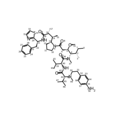 CC[C@H](C)[C@@H]([C@@H](CC(=O)N1CCC[C@H]1[C@H](C)[C@@H](C)C(=O)N[C@@H](Cc1ccccc1)c1nccs1)OC)N(C)C(=O)[C@@H](NC(=O)[C@H](C(C)C)N(C)CCc1ccc(N)cc1)C(C)C